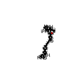 Cc1nc(-c2c(-c3nn(C(C)C)c4ncnc(N)c34)noc2C2CC2)ncc1C1CCN(C(=O)CCCCCCCN2CCC(c3ccc(NC4CCC(=O)NC4=O)cc3)CC2)CC1